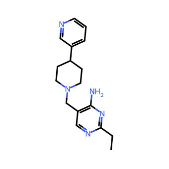 CCc1ncc(CN2CCC(c3cccnc3)CC2)c(N)n1